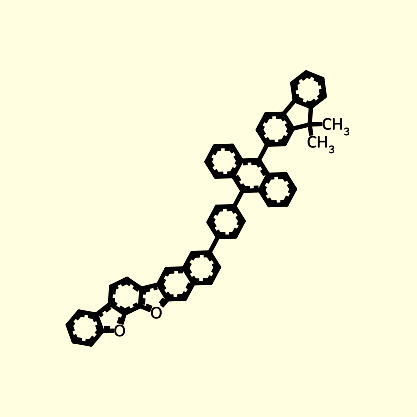 CC1(C)c2ccccc2-c2ccc(-c3c4ccccc4c(-c4ccc(-c5ccc6cc7oc8c(ccc9c%10ccccc%10oc98)c7cc6c5)cc4)c4ccccc34)cc21